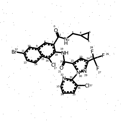 O=C(NCC1CC1)c1cc2cc(Br)ccc2c(Cl)c1NC(=O)c1cc(C(F)(F)F)nn1-c1ncccc1Cl